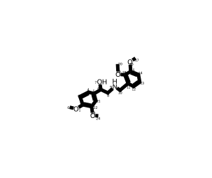 COc1ccc(C(O)CNCc2cccc(OC)c2OC)cc1OC